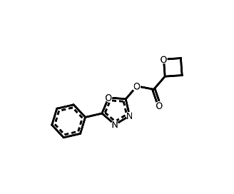 O=C(Oc1nnc(-c2ccccc2)o1)C1CCO1